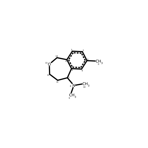 Cc1ccc2c(c1)C(N(C)C)CCOC2